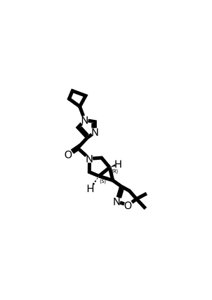 CC1(C)CC(C2[C@H]3CN(C(=O)c4cn(C5CCC5)cn4)C[C@@H]23)=NO1